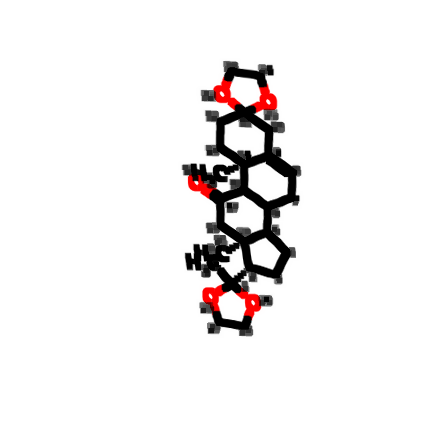 CC1([C@H]2CCC3C4CC=C5CC6(CC[C@]5(C)C4C(=O)C[C@@]32C)OCCO6)OCCO1